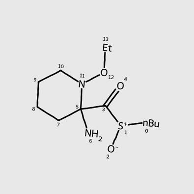 CCCC[S+]([O-])C(=O)C1(N)CCCCN1OCC